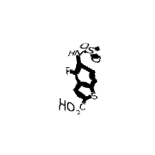 CS(=O)(=O)Nc1ccc2sc(C(=O)O)cc2c1F